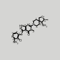 C[C@@H]1OCC2(CCN(c3nc4[nH]nc(Sc5ccnc(N)c5Cl)c4c(=O)n3C)CC2)[C@@H]1N